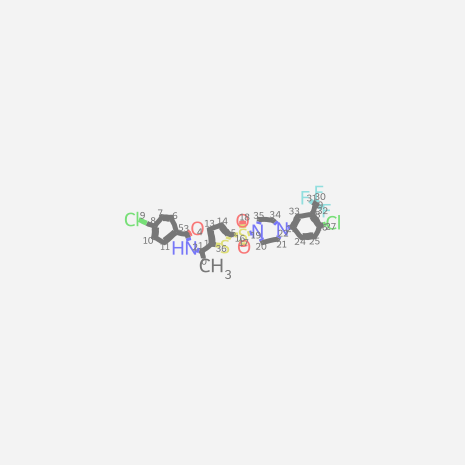 CC(NC(=O)c1ccc(Cl)cc1)c1ccc(S(=O)(=O)N2CCN(c3ccc(Cl)c(C(F)(F)F)c3)CC2)s1